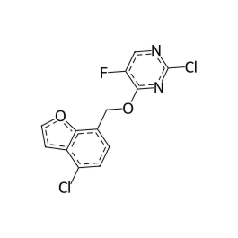 Fc1cnc(Cl)nc1OCc1ccc(Cl)c2ccoc12